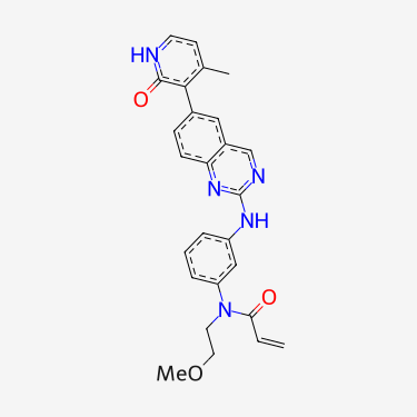 C=CC(=O)N(CCOC)c1cccc(Nc2ncc3cc(-c4c(C)cc[nH]c4=O)ccc3n2)c1